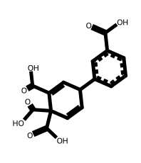 O=C(O)C1=CC(c2cccc(C(=O)O)c2)C=CC1(C(=O)O)C(=O)O